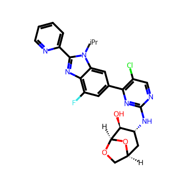 CC(C)n1c(-c2ccccn2)nc2c(F)cc(-c3nc(N[C@@H]4C[C@H]5CO[C@H](O5)[C@H]4O)ncc3Cl)cc21